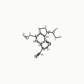 CCC(C)N1CCc2c(COC)nc3c(C#N)cnn3c21